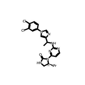 CC(Nc1nccc(N2C(=O)NC[C@@H]2C(C)C)n1)c1cn(-c2ccc(Cl)c(Cl)c2)cn1